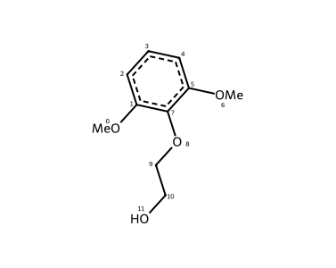 COc1cccc(OC)c1OCCO